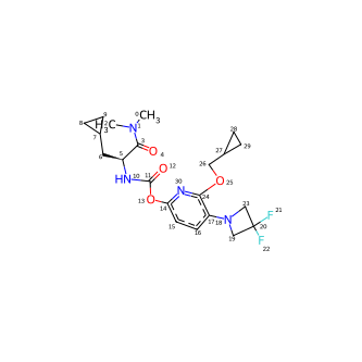 CN(C)C(=O)[C@H](CC1CC1)NC(=O)Oc1ccc(N2CC(F)(F)C2)c(OCC2CC2)n1